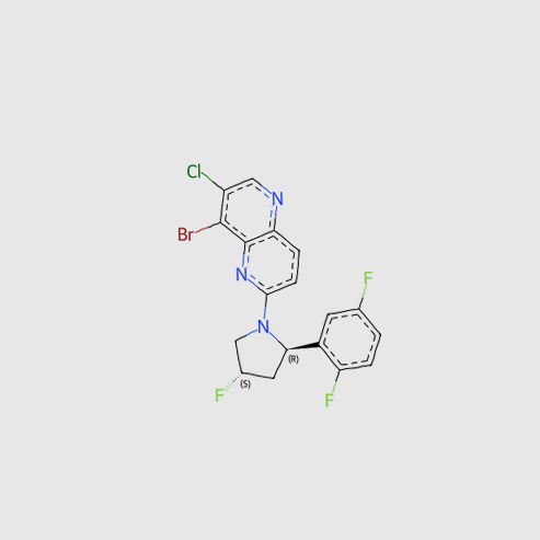 Fc1ccc(F)c([C@H]2C[C@H](F)CN2c2ccc3ncc(Cl)c(Br)c3n2)c1